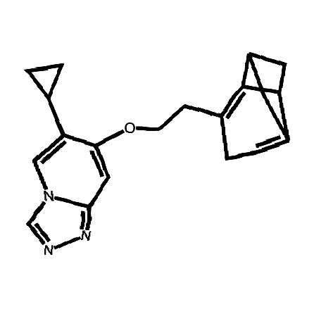 C1=C2C3CC2C3=C(CCOc2cc3nncn3cc2C2CC2)C1